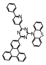 c1ccc(-c2ccc(-c3nc(-c4ccc5c6ccccc6c6ccccc6c5c4)nc(N4c5ccccc5Sc5ccccc54)n3)cn2)cc1